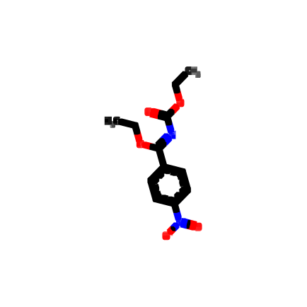 CCOC(=O)N=C(OCC)c1ccc([N+](=O)[O-])cc1